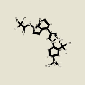 O=C(On1ccc2c(-c3cnn(-c4ccc([N+](=O)[O-])cc4C(F)(F)F)c3)ccnc21)C(F)(F)F